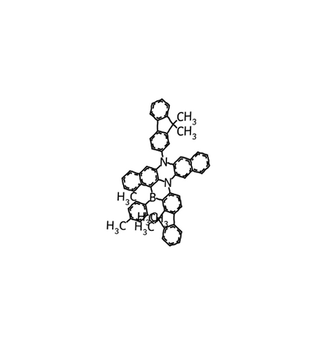 Cc1cc(C)c(B2c3c(ccc4c3C(C)(C)c3ccccc3-4)N3c4cc5ccccc5cc4N(c4ccc5c(c4)C(C)(C)c4ccccc4-5)c4cc5ccccc5c2c43)c(C)c1